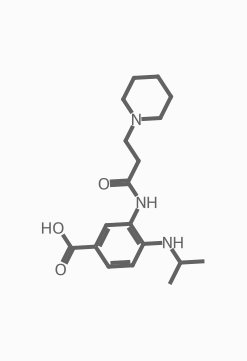 CC(C)Nc1ccc(C(=O)O)cc1NC(=O)CCN1CCCCC1